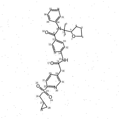 CC(C)(C1CCCO1)N(C(=O)c1ccc(NC(=O)Cc2ccc(S(=O)(=O)CC3CC3)nc2)cc1)c1ccccc1